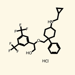 Cl.OCC(OCC1(c2ccccc2)CCC(NCC2CC2)CC1)c1cc(C(F)(F)F)cc(C(F)(F)F)c1